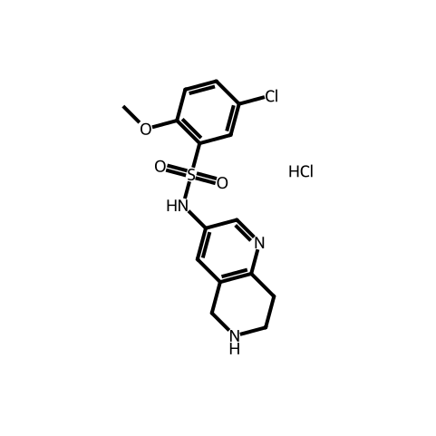 COc1ccc(Cl)cc1S(=O)(=O)Nc1cnc2c(c1)CNCC2.Cl